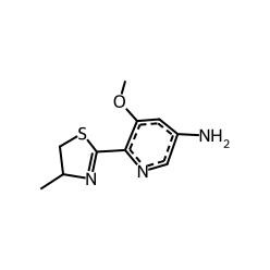 COc1cc(N)cnc1C1=NC(C)CS1